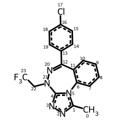 Cc1nnc2n1-c1ccccc1C(c1ccc(Cl)cc1)=NN2CC(F)(F)F